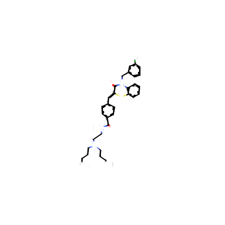 CCCCN(CCCC)CCNC(=O)c1ccc(C=C2Sc3ccccc3N(Cc3cccc(Cl)c3)C2=O)cc1